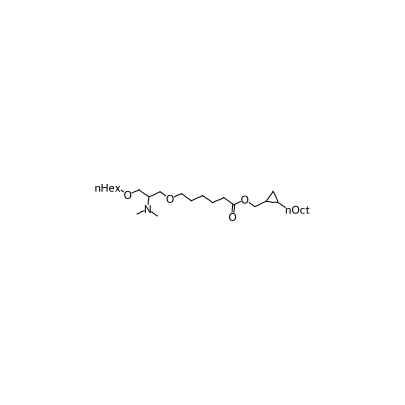 CCCCCCCCC1CC1COC(=O)CCCCCOCC(COCCCCCC)N(C)C